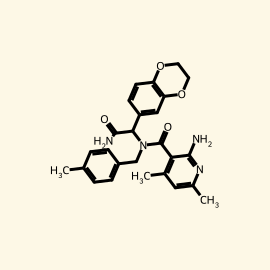 Cc1ccc(CN(C(=O)c2c(C)cc(C)nc2N)C(C(N)=O)c2ccc3c(c2)OCCO3)cc1